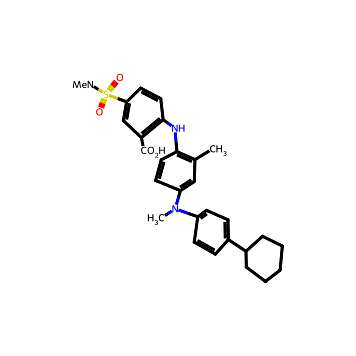 CNS(=O)(=O)c1ccc(Nc2ccc(N(C)c3ccc(C4CCCCC4)cc3)cc2C)c(C(=O)O)c1